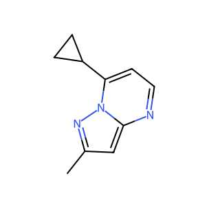 Cc1cc2nccc(C3CC3)n2n1